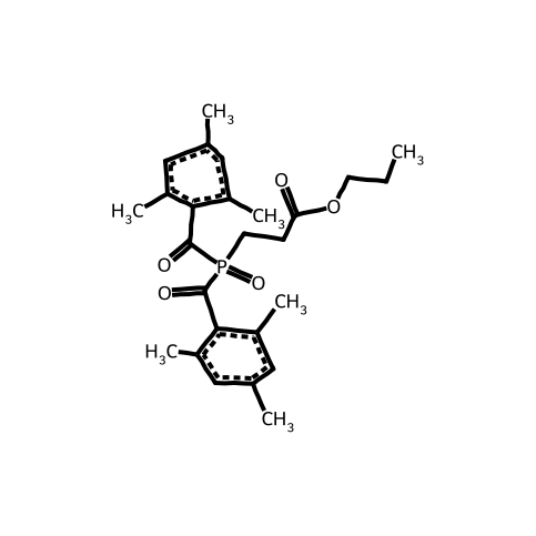 CCCOC(=O)CCP(=O)(C(=O)c1c(C)cc(C)cc1C)C(=O)c1c(C)cc(C)cc1C